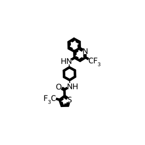 O=C(N[C@H]1CC[C@@H](Nc2cc(C(F)(F)F)nc3ccccc23)CC1)c1sccc1C(F)(F)F